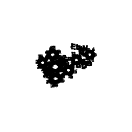 CCc1nc2cccc3c2n1-c1ccc(-c2ccc4c(c2)C2(c5ccccc5-4)c4ccccc4C4(c5ccccc5-c5ccccc54)c4ccccc42)cc1S3(=O)=O